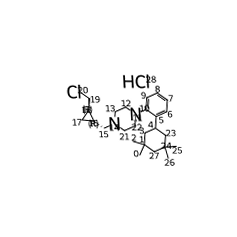 CC1(C)CC(c2ccccc2N2CCN(C[C@@H]3C[C@H]3CCl)CC2)CC(C)(C)C1.Cl